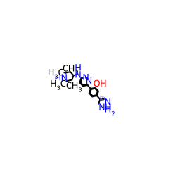 CC1(C)CC(Nc2ccc(-c3ccc(/C(C=N)=C/N)cc3O)nn2)CC(C)(C)N1